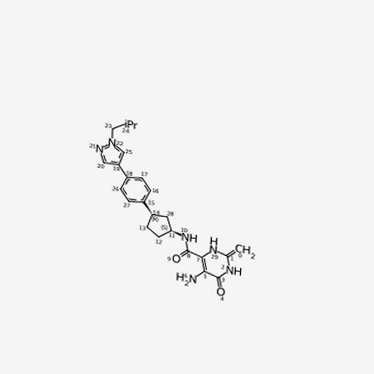 C=C1NC(=O)C(N)=C(C(=O)N[C@H]2CC[C@@H](c3ccc(-c4cnn(CC(C)C)c4)cc3)C2)N1